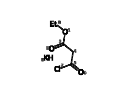 CCOC(=O)CC(=O)Cl.[KH]